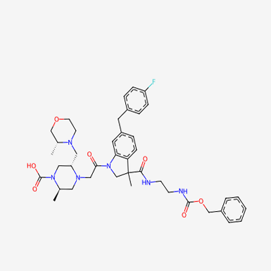 C[C@@H]1COCCN1C[C@H]1CN(C(=O)O)[C@H](C)CN1CC(=O)N1CC(C)(C(=O)NCCNC(=O)OCc2ccccc2)c2ccc(Cc3ccc(F)cc3)cc21